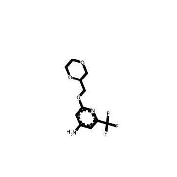 Nc1cc(OCC2COCCO2)nc(C(F)(F)F)c1